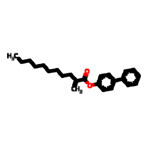 C=C(CCCCCCCCC)C(=O)Oc1ccc(-c2ccccc2)cc1